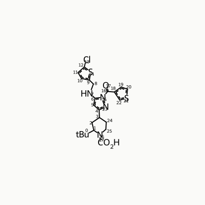 CC(C)(C)C1CC(c2cc(NCc3ccc(Cl)s3)n(C(=O)c3ccsc3)n2)CCN1C(=O)O